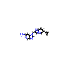 Nc1cc2c(cn1)ncn2Cc1cn2cc(C3CC3)ccc2n1